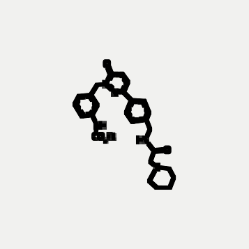 CCOC(=O)Nc1cccc(Cn2nc(-c3ccc(CNC(=O)CN4CCCCC4)cc3)ccc2=O)c1